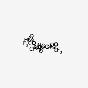 O=C(C[C@H](c1ccccc1)C(F)(F)F)N1CCC(O)(Cn2cnc3c(cc(Cl)n3-c3ccc([C@H]4COCCN4)c(C(F)(F)F)c3)c2=O)CC1